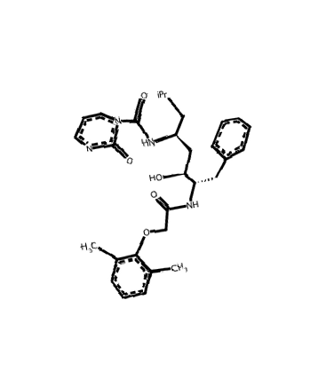 Cc1cccc(C)c1OCC(=O)N[C@@H](Cc1ccccc1)[C@@H](O)C[C@H](CC(C)C)NC(=O)n1cccnc1=O